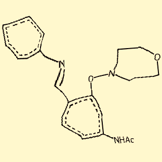 CC(=O)Nc1ccc(C=Nc2ccccc2)c(ON2CCOCC2)c1